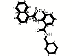 O=C(NCC1CCCCC1)c1cccc(Cl)c1NC(=O)c1cccc2ccccc12